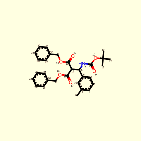 Cc1cccc(C(NC(=O)OC(C)(C)C)C(C(=O)OCc2ccccc2)C(=O)OCc2ccccc2)c1